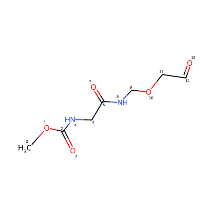 COC(=O)NCC(=O)NCOCC=O